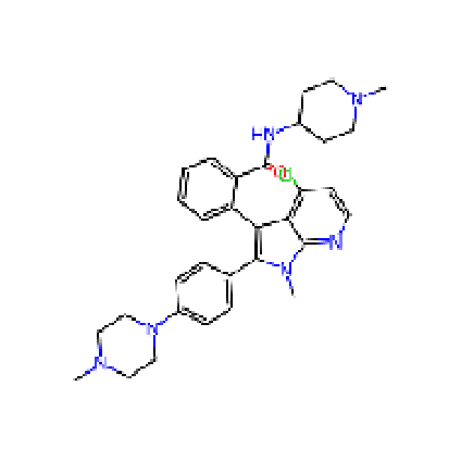 CN1CCC(NC(=O)c2ccccc2-c2c(-c3ccc(N4CCN(C)CC4)cc3)n(C)c3nccc(Cl)c23)CC1